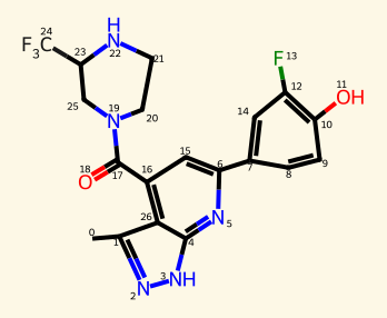 Cc1n[nH]c2nc(-c3ccc(O)c(F)c3)cc(C(=O)N3CCNC(C(F)(F)F)C3)c12